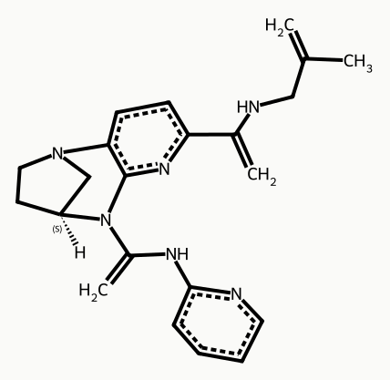 C=C(C)CNC(=C)c1ccc2c(n1)N(C(=C)Nc1ccccn1)[C@H]1CCN2C1